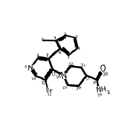 Cc1ccccc1-c1cncc(Br)c1N1CCC(C(N)=O)CC1